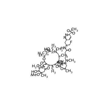 CC[C@H]1OC(=O)[C@H](C)[C@@H](O[C@H]2C[C@@](C)(OC)[C@@H](O)[C@H](C)O2)[C@H](C)[C@@H](O[C@@H]2O[C@H](C)C[C@H](N(C)CCCC(=O)N[C@H](CF)Cc3ccc(S(C)(=O)=O)nn3)[C@H]2O)[C@](C)(O)C[C@@H](C)CN(C)[C@H](C)[C@@H](O)[C@]1(C)O